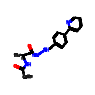 COC(=O)N[C@@H](C(=O)NNCc1ccc(-c2ccccn2)cc1)C(C)(C)C